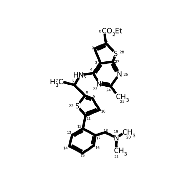 CCOC(=O)c1cc2c(NC(C)c3ccc(-c4ccccc4CN(C)C)s3)nc(C)nc2s1